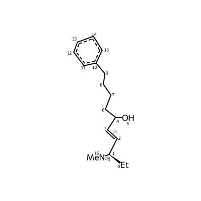 CC[C@H](/C=C/C(O)CCCCc1ccccc1)NC